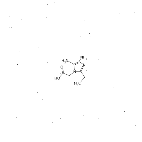 CCc1nc(N)c(N)n1CC(=O)O